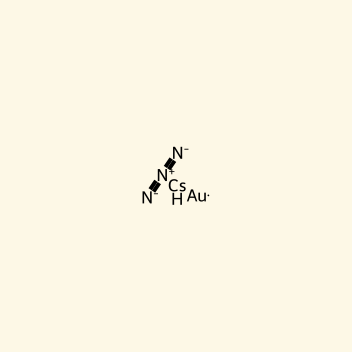 [Au].[CsH].[N-]=[N+]=[N-]